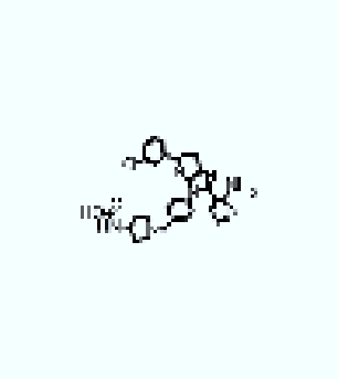 Nc1ncccc1-c1nc2ccc(-c3cccc(Cl)c3)nc2n1-c1ccc(CN2CCC(NC(=O)O)CC2)cc1